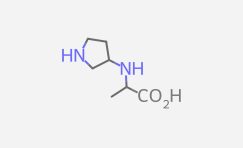 CC(NC1CCNC1)C(=O)O